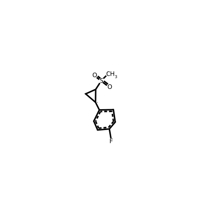 CS(=O)(=O)C1C[C]1c1ccc(F)cc1